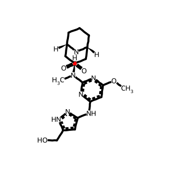 COc1cc(Nc2cc(CO)[nH]n2)nc(N(C)[C@@H]2C[C@H]3CCC[C@@H](C2)N3[SH](=O)=O)n1